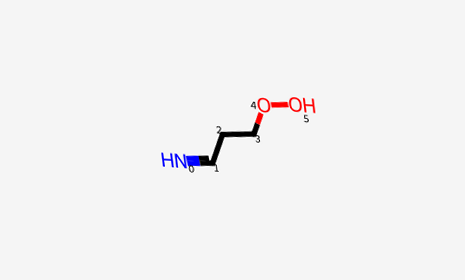 N=CCCOO